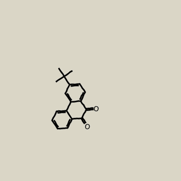 CC(C)(C)c1ccc2c(c1)-c1ccccc1C(=O)C2=O